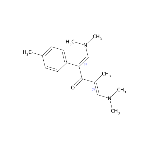 C/C(=C\N(C)C)C(=O)/C(=C/N(C)C)c1ccc(C)cc1